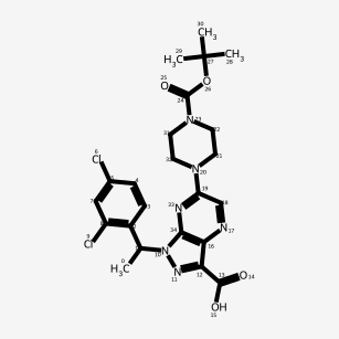 CC(c1ccc(Cl)cc1Cl)n1nc(C(=O)O)c2ncc(N3CCN(C(=O)OC(C)(C)C)CC3)nc21